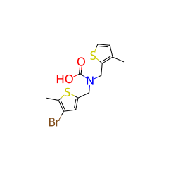 Cc1ccsc1CN(Cc1cc(Br)c(C)s1)C(=O)O